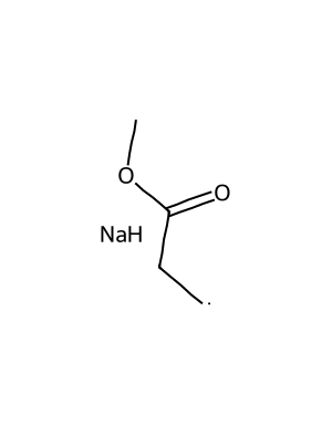 [CH2]CC(=O)OC.[NaH]